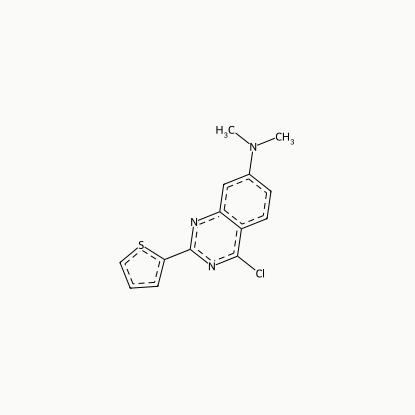 CN(C)c1ccc2c(Cl)nc(-c3cccs3)nc2c1